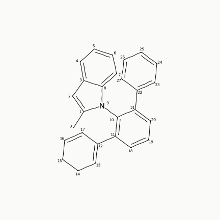 Cc1cc2ccccc2n1-c1c(C2=CCCC=C2)cccc1-c1ccccc1